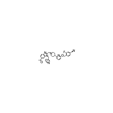 CC(=O)c1ccc2nc(CN3CCC(c4cccc(OCc5ccc(C#N)cc5F)n4)CC3)n(Cc3cnco3)c2c1